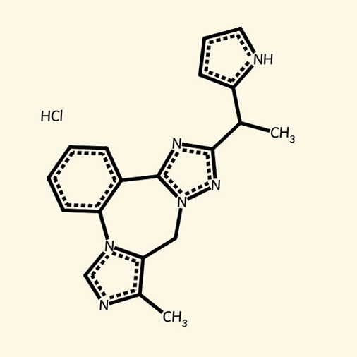 Cc1ncn2c1Cn1nc(C(C)c3ccc[nH]3)nc1-c1ccccc1-2.Cl